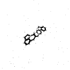 O=C1C(CN2CCC3(CC2)OCc2ccccc23)Cc2cccc3c2N1CC3